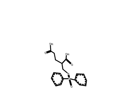 O=C(O)CCC(CN=S(=O)(c1ccccc1)c1ccccc1)C(=O)O